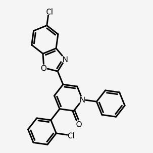 O=c1c(-c2ccccc2Cl)cc(-c2nc3cc(Cl)ccc3o2)cn1-c1ccccc1